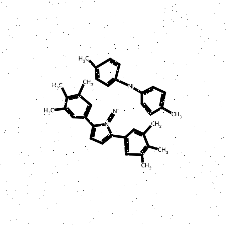 Cc1cc(C2=CC=C(c3cc(C)c(C)c(C)c3)[N+]2=[N-])cc(C)c1C.Cc1cc[c]([Ni][c]2ccc(C)cc2)cc1